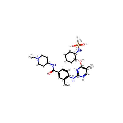 COc1cc(C(=O)NC2CCN(C)CC2)ccc1Nc1ncc(C(F)(F)F)c(O[C@@H]2CCCC[C@H]2NS(C)(=O)=O)n1